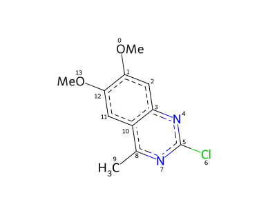 COc1cc2nc(Cl)nc(C)c2cc1OC